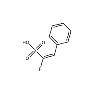 O=S(=O)(O)C(F)=Cc1ccccc1